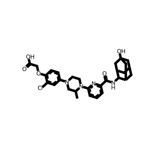 CC1CN(c2ccc(OCC(=O)O)c(Cl)c2)CCN1c1cccc(C(=O)NC2C3CC4CC2CC(O)(C4)C3)n1